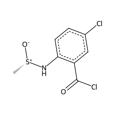 C[S@+]([O-])Nc1ccc(Cl)cc1C(=O)Cl